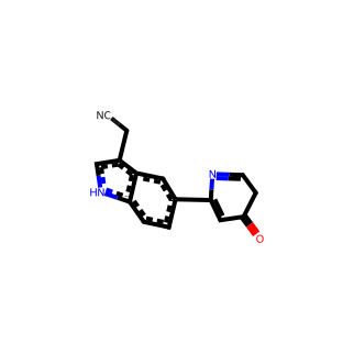 N#CCc1c[nH]c2ccc(C3=CC(=O)CC=N3)cc12